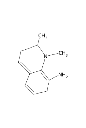 CC1CC=C2C=CCC(N)=C2N1C